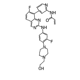 C=CC(=O)Nc1cc(-c2c(F)ccc3cnc(Nc4ccc(N5CCN(CCO)CC5)c(F)c4)nc23)ccn1